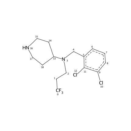 FC(F)(F)CCN(Cc1cccc(Cl)c1Cl)C1CCNCC1